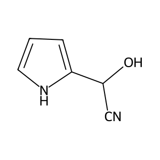 N#CC(O)c1ccc[nH]1